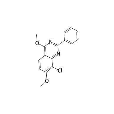 COc1ccc2c(OC)nc(-c3ccccc3)nc2c1Cl